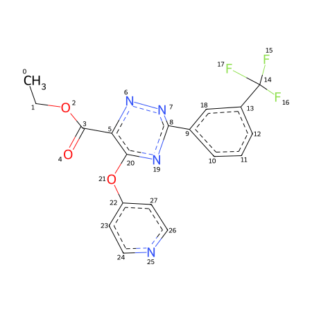 CCOC(=O)c1nnc(-c2cccc(C(F)(F)F)c2)nc1Oc1ccncc1